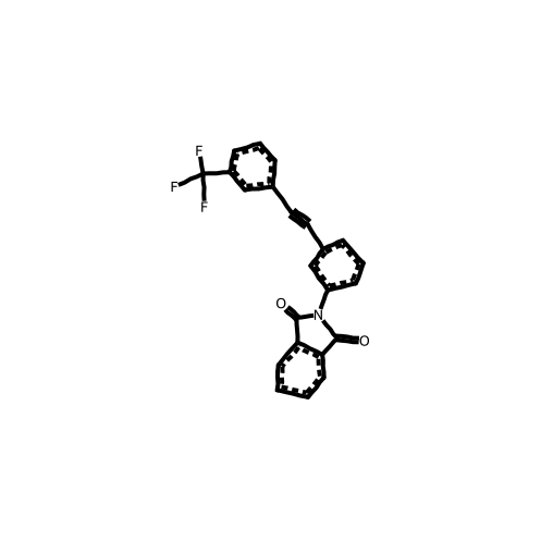 O=C1c2ccccc2C(=O)N1c1cccc(C#Cc2cccc(C(F)(F)F)c2)c1